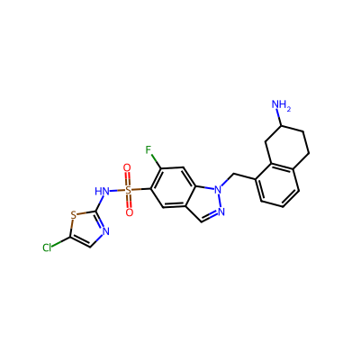 NC1CCc2cccc(Cn3ncc4cc(S(=O)(=O)Nc5ncc(Cl)s5)c(F)cc43)c2C1